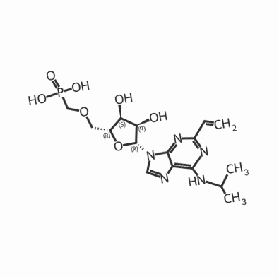 C=Cc1nc(NC(C)C)c2ncn([C@@H]3O[C@H](COCP(=O)(O)O)[C@@H](O)[C@H]3O)c2n1